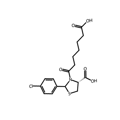 O=C(O)CCCCCC(=O)N1C(c2ccc(Cl)cc2)SC[C@H]1C(=O)O